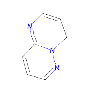 C1=CC2=NC=CCN2N=C1